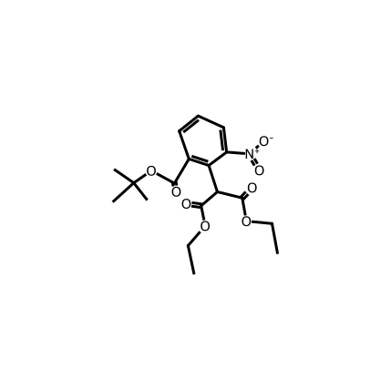 CCOC(=O)C(C(=O)OCC)c1c(C(=O)OC(C)(C)C)cccc1[N+](=O)[O-]